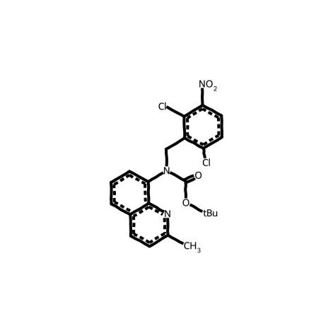 Cc1ccc2cccc(N(Cc3c(Cl)ccc([N+](=O)[O-])c3Cl)C(=O)OC(C)(C)C)c2n1